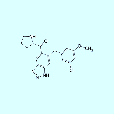 COc1cc(Cl)cc(Cc2cc3[nH]nnc3cc2C(=O)C2CCCN2)c1